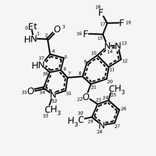 CCNC(=O)c1cc2c(-c3cc4c(cnn4C(F)C(F)F)cc3Oc3c(C)ccnc3C)cn(C)c(=O)c2[nH]1